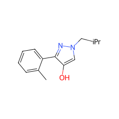 Cc1ccccc1-c1nn(CC(C)C)cc1O